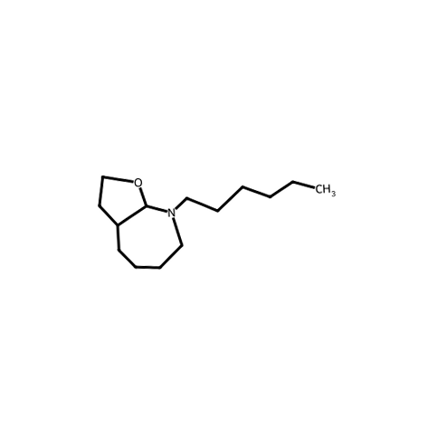 CCCCCCN1CCCCC2CCOC21